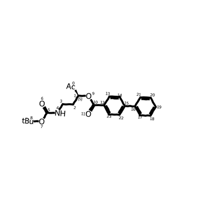 CC(=O)[C@H](CCNC(=O)OC(C)(C)C)OC(=O)c1ccc(-c2ccccc2)cc1